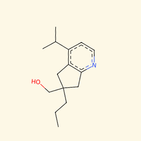 CCCC1(CO)Cc2nccc(C(C)C)c2C1